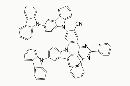 N#Cc1cc(-c2cc(-c3ccccc3)nc(-c3ccccc3)n2)c(-n2c3ccccc3c3cc(-n4c5ccccc5c5ccccc54)ccc32)cc1-n1c2ccccc2c2cc(-n3c4ccccc4c4ccccc43)ccc21